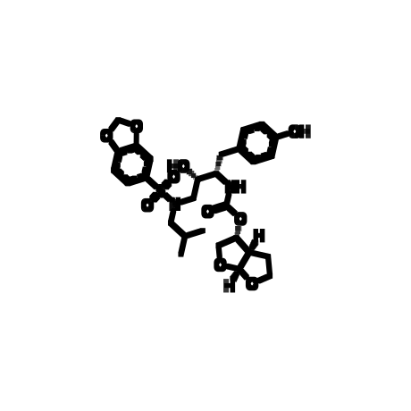 CC(C)CN(C[C@H](O)[C@H](Cc1ccc(O)cc1)NC(=O)O[C@H]1CO[C@H]2OCC[C@H]21)S(=O)(=O)c1ccc2c(c1)OCO2